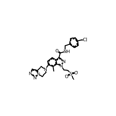 Cc1c(N2CCn3nncc3C2)ccc2c(C(=O)NCc3ccc(Cl)cc3)nn(CCS(C)(=O)=O)c12